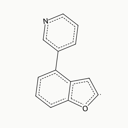 [c]1cc2c(-c3cccnc3)cccc2o1